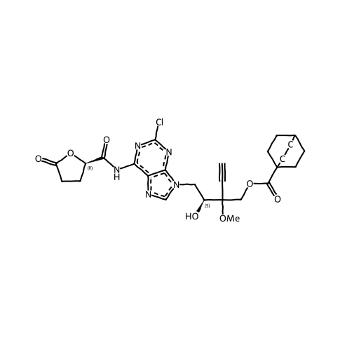 C#CC(COC(=O)C12CCC(CC1)CC2)(OC)[C@@H](O)Cn1cnc2c(NC(=O)[C@H]3CCC(=O)O3)nc(Cl)nc21